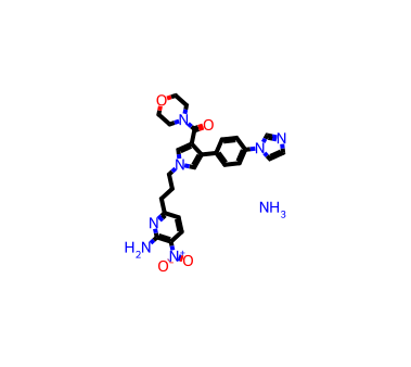 N.Nc1nc(CCCn2cc(C(=O)N3CCOCC3)c(-c3ccc(-n4ccnc4)cc3)c2)ccc1[N+](=O)[O-]